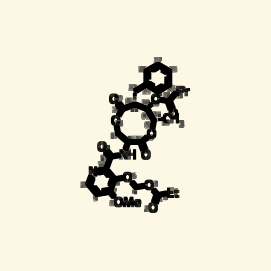 CCC(=O)OCOc1c(OC)ccnc1C(=O)NC1COC(=O)[C@H](Cc2ccccc2)[C@@H](OC(=O)C(C)C)[C@H](C)OC1=O